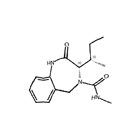 CC[C@H](C)[C@H]1C(=O)Nc2ccccc2CN1C(=O)NC